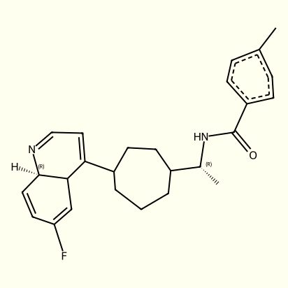 Cc1ccc(C(=O)N[C@H](C)C2CCCC(C3=CC=N[C@@H]4C=CC(F)=CC34)CC2)cc1